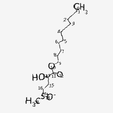 CCCCCCCCCCOC(=O)C(O)CC[S+](C)[O-]